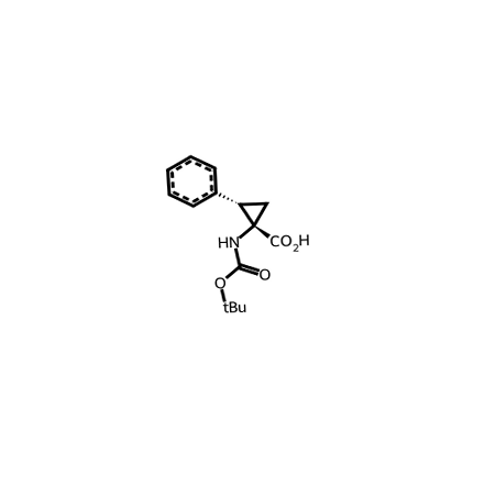 CC(C)(C)OC(=O)N[C@@]1(C(=O)O)C[C@H]1c1ccccc1